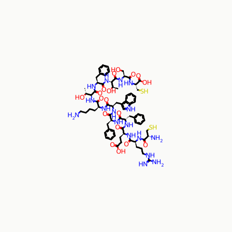 C[C@@H](O)[C@H](NC(=O)[C@H](Cc1ccccc1)NC(=O)[C@@H](NC(=O)[C@H](CCCCN)NC(=O)[C@@H](Cc1c[nH]c2ccccc12)NC(=O)[C@H](Cc1ccccc1)NC(=O)[C@H](Cc1ccccc1)NC(=O)[C@H](CCC(=O)O)NC(=O)[C@H](CCCNC(=N)N)NC(=O)[C@@H](N)CS)[C@@H](C)O)C(=O)N[C@@H](CO)C(=O)N[C@@H](CS)C(=O)O